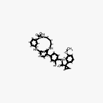 COc1cccc(C2(C(=O)Nc3ccc(-c4cnc5nc4NCCCNS(=O)(=O)c4cccc(c4)N5)cc3F)CC2)c1